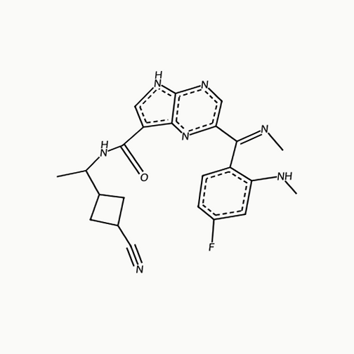 C/N=C(/c1cnc2[nH]cc(C(=O)NC(C)C3CC(C#N)C3)c2n1)c1ccc(F)cc1NC